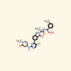 Cc1cccc([C@@H](CO)NC(=O)[C@@H](C)N2Cc3ccc(-c4nc(NC5CCN(C)C(=O)C5)ncc4Cl)cc3C2=O)c1